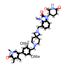 COc1cc(-c2cn(C)c(=O)c(C)c2C)cc(OC)c1CN1CCC2(CC1)CN(Cc1cccc3c1n(C)c(=O)n3C1CCC(=O)NC1=O)C2